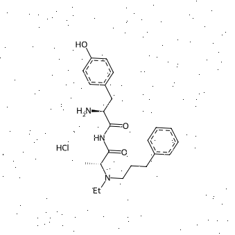 CCN(CCCc1ccccc1)[C@H](C)C(=O)NC(=O)[C@@H](N)Cc1ccc(O)cc1.Cl